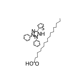 CCCCCCCCCCCCCCCCCC(=O)O.c1ccc(N2N=C(c3cccs3)NN2c2ccccc2)cc1